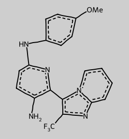 COc1ccc(Nc2ccc(N)c(-c3c(C(F)(F)F)nc4ccccn34)n2)cc1